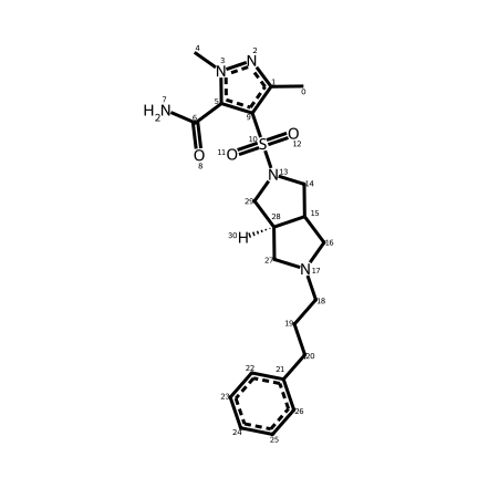 Cc1nn(C)c(C(N)=O)c1S(=O)(=O)N1CC2CN(CC[CH]c3ccccc3)C[C@H]2C1